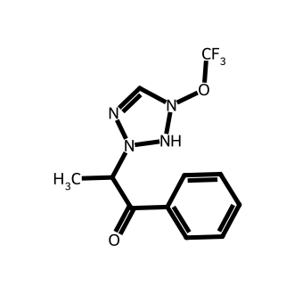 CC(C(=O)c1ccccc1)N1N=CN(OC(F)(F)F)N1